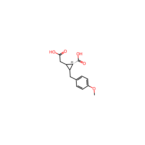 COc1ccc(CC2C(CC(=O)O)[C@@H]2C(=O)O)cc1